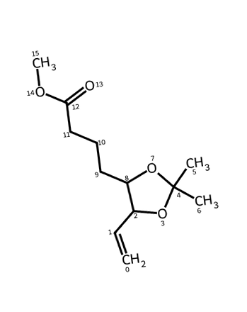 C=CC1OC(C)(C)OC1CCCC(=O)OC